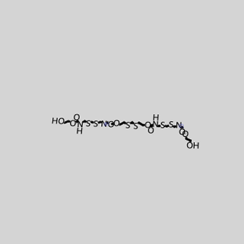 O=C(NCSCSC/N=C\OOCCO)OCCSCSCCOO/C=N/CSCSCNC(=O)OCCO